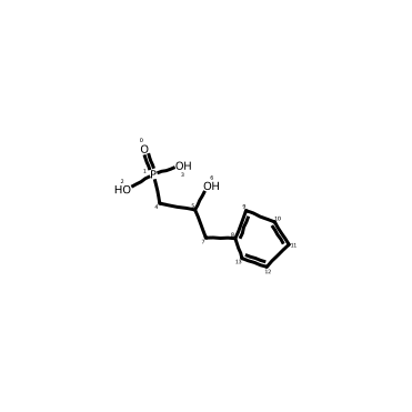 O=P(O)(O)CC(O)Cc1ccccc1